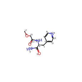 CNC(=O)[C@H](Cc1ccncc1)NC(=O)COC